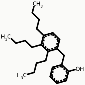 CCCCc1ccc(Cc2ccccc2O)c(CCCC)c1CCCC